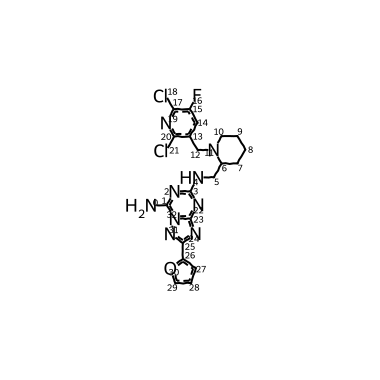 Nc1nc(NCC2CCCCN2Cc2cc(F)c(Cl)nc2Cl)nc2nc(-c3ccco3)nn12